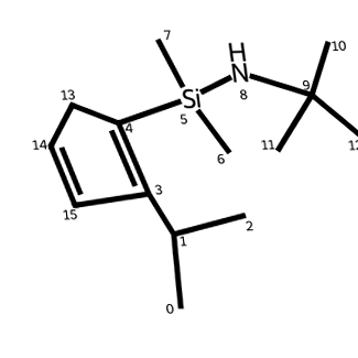 CC(C)C1=C([Si](C)(C)NC(C)(C)C)CC=C1